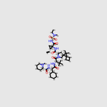 C=C[C@@H]1C[C@]1(NC(=O)[C@@H]1C[C@@]2(CN1C(=O)[C@@H](NC(=O)[C@@H](NC(=O)[C@@H]1CCCCN1C)C1CCCCC1)C(C)(C)C)C(C)(C)C21CCC1)C(=O)NS(=O)(=O)N(C)CC